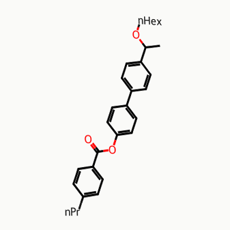 CCCCCCOC(C)c1ccc(-c2ccc(OC(=O)c3ccc(CCC)cc3)cc2)cc1